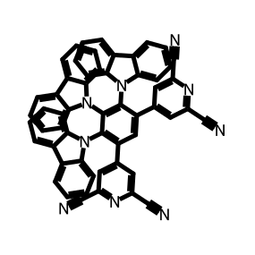 N#Cc1cc(-c2cc(-c3cc(C#N)nc(C#N)c3)c(-n3c4ccccc4c4ccccc43)c(-n3c4ccccc4c4ccccc43)c2-n2c3ccccc3c3ccccc32)cc(C#N)n1